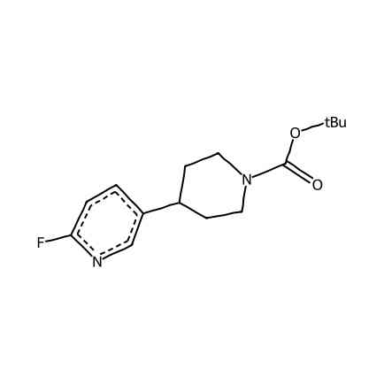 CC(C)(C)OC(=O)N1CCC(c2ccc(F)nc2)CC1